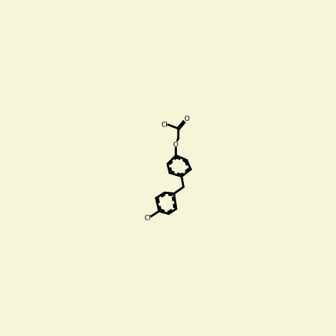 O=C(Cl)COc1ccc(Cc2ccc(Cl)cc2)cc1